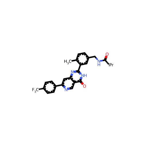 Cc1ccc(CNC(=O)C(C)C)cc1-c1nc2cc(-c3ccc(C(F)(F)F)cc3)ncc2c(=O)[nH]1